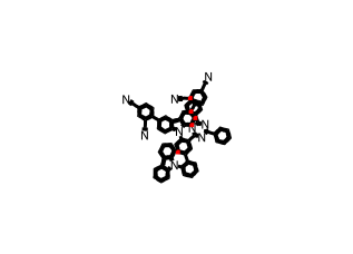 N#Cc1ccc(-c2ccc3c(c2)c2cc(-c4ccc(C#N)cc4C#N)ccc2n3-c2ccc(-c3ccccc3-n3c4ccccc4c4ccccc43)cc2-c2nc(-c3ccccc3)nc(-c3ccccc3)n2)c(C#N)c1